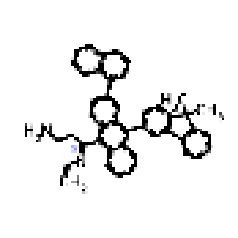 C=C/N=C(\CCN)c1c2ccccc2c(-c2ccc3c(c2)-c2ccccc2C3(C)C)c2cc(-c3cccc4ccccc34)ccc12